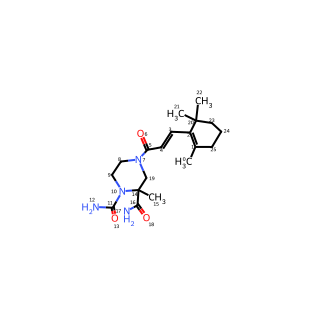 CC1=C(/C=C/C(=O)N2CCN(C(N)=O)C(C)(C(N)=O)C2)C(C)(C)CCC1